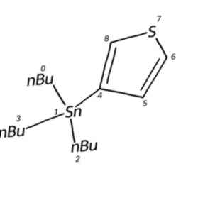 CCC[CH2][Sn]([CH2]CCC)([CH2]CCC)[c]1ccsc1